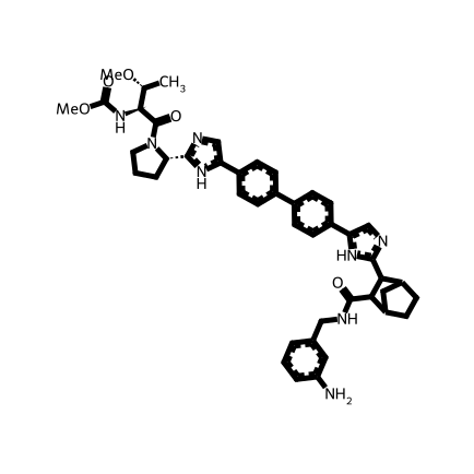 COC(=O)N[C@H](C(=O)N1CCC[C@H]1c1ncc(-c2ccc(-c3ccc(-c4cnc(C5C6CCC(C6)C5C(=O)NCc5cccc(N)c5)[nH]4)cc3)cc2)[nH]1)[C@@H](C)OC